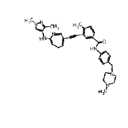 Cc1ccc(C(=O)Nc2ccc(CN3CCN(C)CC3)cc2)cc1C#CC1=CCC=C(Nc2cn(C)nc2C)N=C1